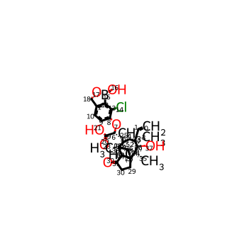 C=C[C@]1(C)C[C@@H](C(Oc2ccc3c(c2Cl)B(O)OC3)C(=O)O)[C@@]2(C)[C@H](C)CC[C@]3(CCC(=O)[C@H]32)[C@@H](C)[C@@H]1O